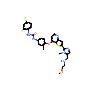 COCCNCc1cnc(-c2cc3nccc(Oc4ccc(NC(=O)Nc5ccc(F)cc5F)cc4C)c3s2)n1C